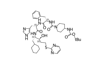 CC(C)(C)OC(=O)NC1CCN(C(=O)N[C@@H](Cc2ccccc2)C(=O)N[C@@H](Cc2c[nH]cn2)C(=O)N[C@@H](CC2CCCCC2)[C@@H](O)CCSc2ncccn2)CC1